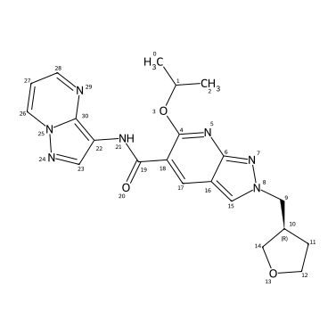 CC(C)Oc1nc2nn(C[C@H]3CCOC3)cc2cc1C(=O)Nc1cnn2cccnc12